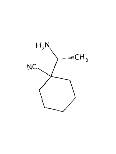 C[C@@H](N)C1(C#N)CCCCC1